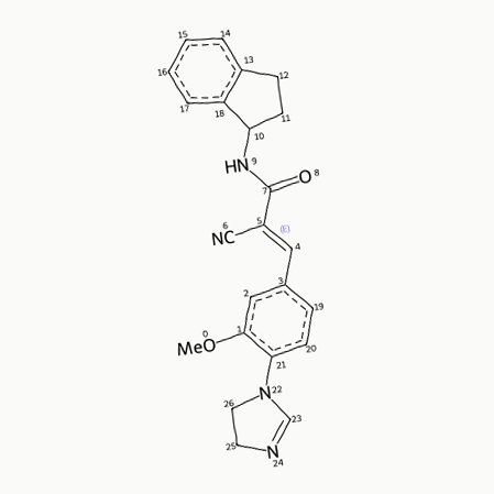 COc1cc(/C=C(\C#N)C(=O)NC2CCc3ccccc32)ccc1N1C=NCC1